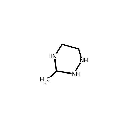 CC1NCCNN1